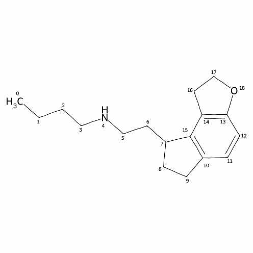 CCCCNCCC1CCc2ccc3c(c21)CCO3